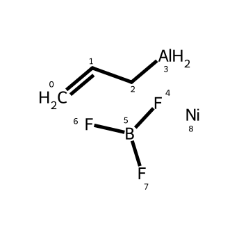 C=C[CH2][AlH2].FB(F)F.[Ni]